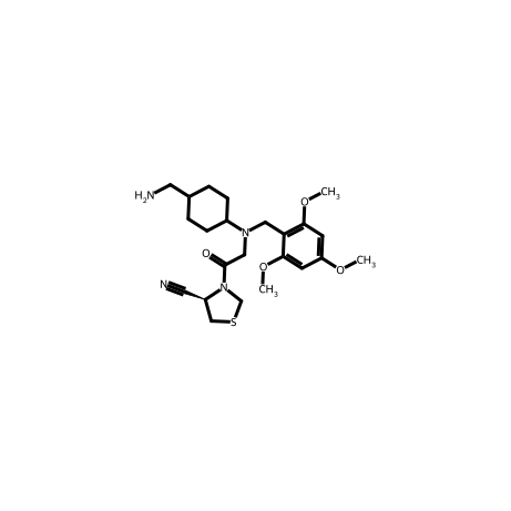 COc1cc(OC)c(CN(CC(=O)N2CSC[C@H]2C#N)C2CCC(CN)CC2)c(OC)c1